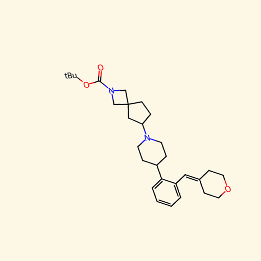 CC(C)(C)OC(=O)N1CC2(CCC(N3CCC(c4ccccc4C=C4CCOCC4)CC3)C2)C1